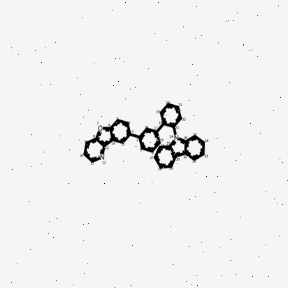 c1cc(-c2ccc3oc4cccnc4c3c2)cc(-c2ccccc2-n2c3ccccc3c3ccccc32)c1